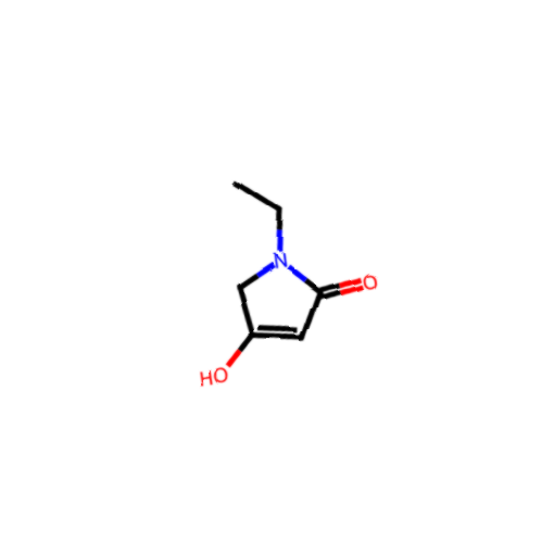 CCN1CC(O)=CC1=O